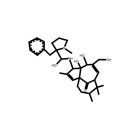 CC1=CC23CCC(C)C(C)(C)C(C=C(CO)C(O)C2(O)C1NC(O)C1(Cc2ccccc2)CCCN1C)C3=O